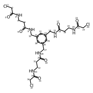 O=C(CCl)NCCC(=O)NCc1cc(CNC(=O)CCNC(=O)CCl)cc(CNC(=O)CCNC(=O)CCl)c1